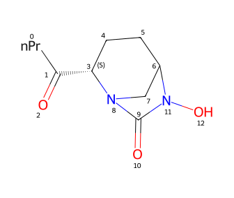 CCCC(=O)[C@@H]1CCC2CN1C(=O)N2O